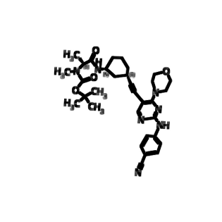 C[C@@H](C(=O)N[C@H]1CCC[C@@H](C#Cc2cnc(Nc3ccc(C#N)cc3)nc2N2CCOCC2)C1)N(C)C(=O)OC(C)(C)C